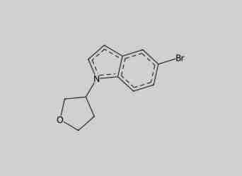 Brc1ccc2c(ccn2C2CCOC2)c1